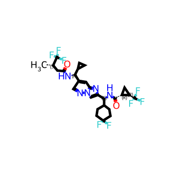 C[C@@H](CC(=O)N[C@@H](c1cnn2cc([C@@H](NC(=O)[C@@H]3C[C@H]3C(F)(F)F)C3CCC(F)(F)CC3)nc2c1)C1CC1)C(F)(F)F